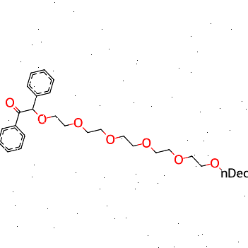 CCCCCCCCCCOCCOCCOCCOCCOCCOC(C(=O)c1ccccc1)c1ccccc1